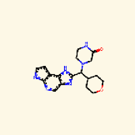 O=C1CN(C(c2nc3cnc4[nH]ccc4c3[nH]2)C2CCOCC2)CCN1